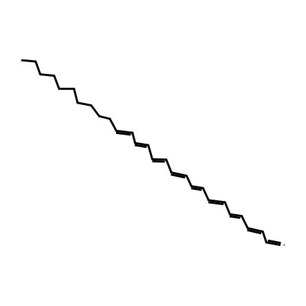 [CH]=CC=CC=CC=CC=CC=CC=CC=CC=CCCCCCCCCCC